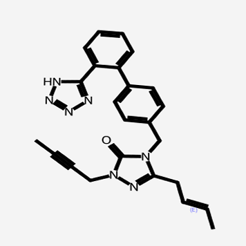 CC#CCn1nc(C/C=C/C)n(Cc2ccc(-c3ccccc3-c3nnn[nH]3)cc2)c1=O